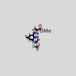 COC(=O)c1csc(-c2cc(C)cc3nc(OC(F)F)cnc23)n1